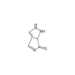 O=C1N=CC2=CNNC12